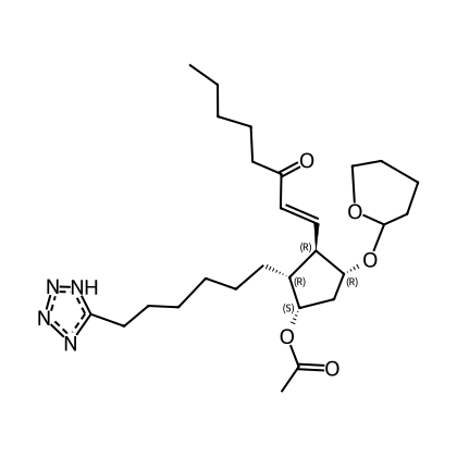 CCCCCC(=O)C=C[C@@H]1[C@@H](CCCCCCc2nnn[nH]2)[C@@H](OC(C)=O)C[C@H]1OC1CCCCO1